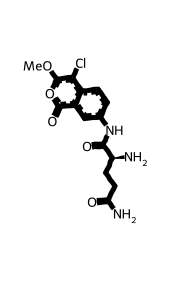 COc1oc(=O)c2cc(NC(=O)[C@@H](N)CCC(N)=O)ccc2c1Cl